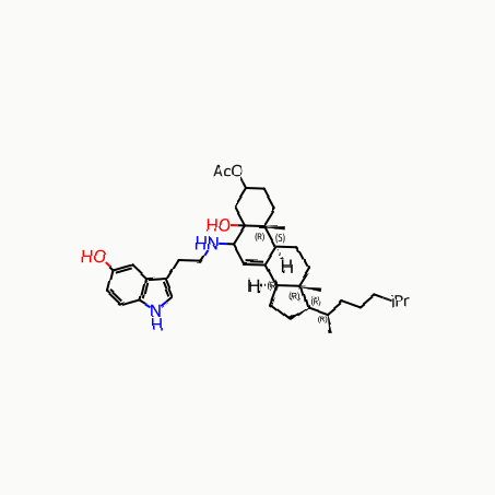 CC(=O)OC1CC[C@]2(C)[C@H]3CC[C@]4(C)[C@@H]([C@H](C)CCCC(C)C)CC[C@H]4C3=CC(NCCc3c[nH]c4ccc(O)cc34)C2(O)C1